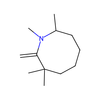 C=C1N(C)C(C)CCCCC1(C)C